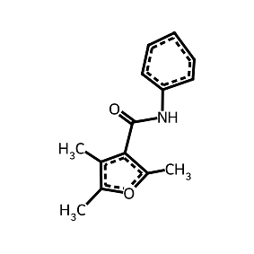 Cc1oc(C)c(C(=O)Nc2ccccc2)c1C